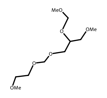 COCCOCOCC(COC)OCOC